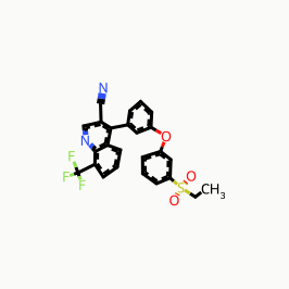 CCS(=O)(=O)c1cccc(Oc2cccc(-c3c(C#N)cnc4c(C(F)(F)F)cccc34)c2)c1